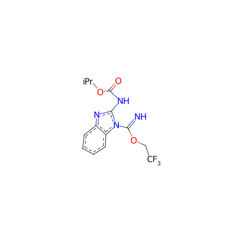 CC(C)OC(=O)Nc1nc2ccccc2n1C(=N)OCC(F)(F)F